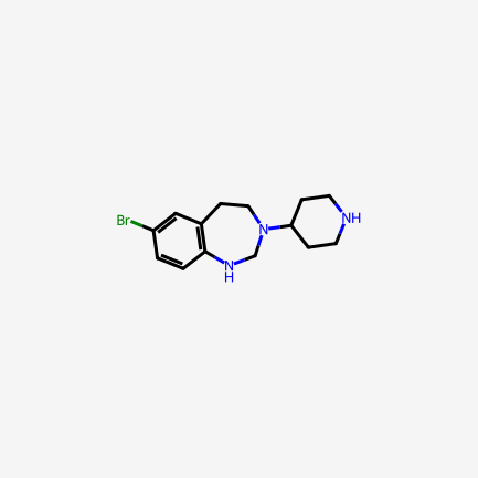 Brc1ccc2c(c1)CCN(C1CCNCC1)CN2